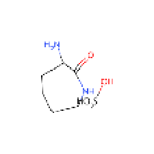 NC1CCCCNC1=O.O=S(=O)(O)O